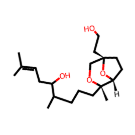 CC(C)=CCC(O)C(C)CCC[C@]1(C)OC[C@]2(CCO)CC[C@H]1O2